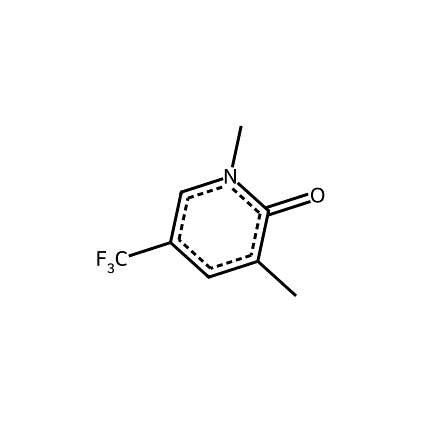 Cc1cc(C(F)(F)F)cn(C)c1=O